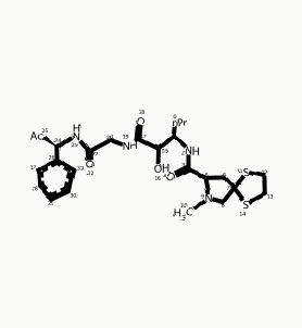 CCCC(NC(=O)C1CC2(CN1C)SCCS2)C(O)C(=O)NCC(=O)N[C@H](C(C)=O)c1ccccc1